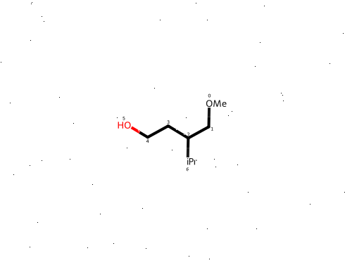 COCC(CCO)C(C)C